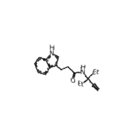 C#CC(CC)(CC)NC(=O)CCc1c[nH]c2ccccc12